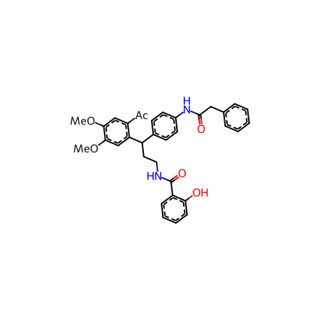 COc1cc(C(C)=O)c(C(CCNC(=O)c2ccccc2O)c2ccc(NC(=O)Cc3ccccc3)cc2)cc1OC